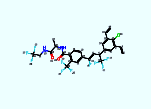 C=Cc1cc(C(/C=C(\F)c2ccc(C(=O)NC(C)C(=O)NCC(F)(F)F)c(C(F)(F)F)c2)C(F)(F)F)cc(C=C)c1Cl